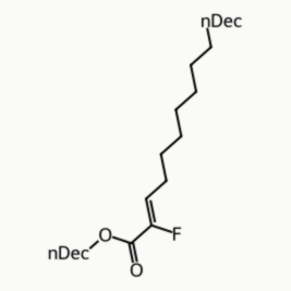 CCCCCCCCCCCCCCCCCC=C(F)C(=O)OCCCCCCCCCC